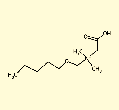 CCCCCOC[N+](C)(C)CC(=O)O